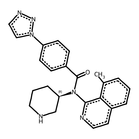 Cc1cccc2ccnc(N(C(=O)c3ccc(-n4ccnn4)cc3)[C@@H]3CCCNC3)c12